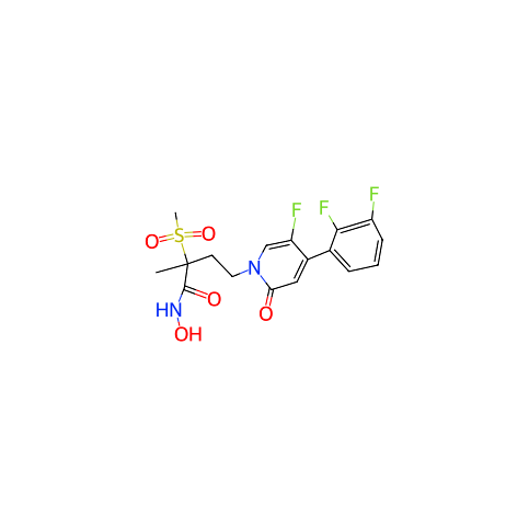 CC(CCn1cc(F)c(-c2cccc(F)c2F)cc1=O)(C(=O)NO)S(C)(=O)=O